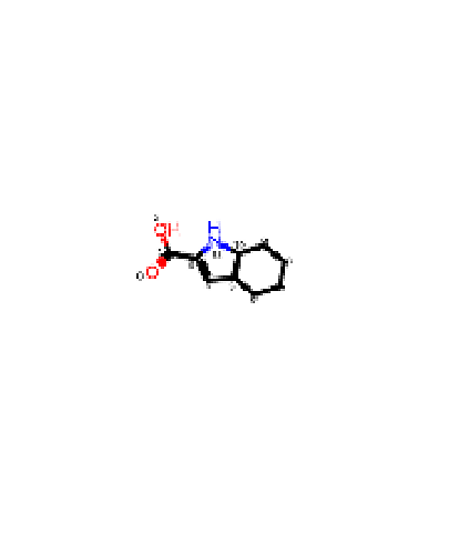 O=C(O)C1=CC2CCCCC2N1